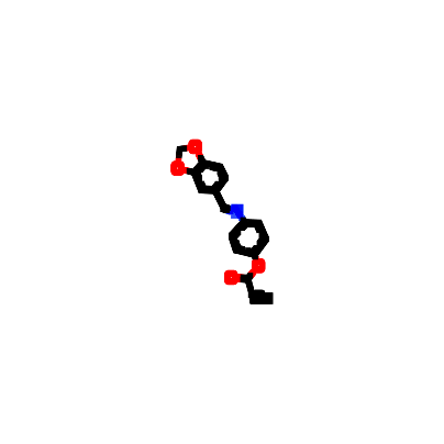 CC(C)(C)C(=O)Oc1ccc(/N=C/c2ccc3c(c2)OCO3)cc1